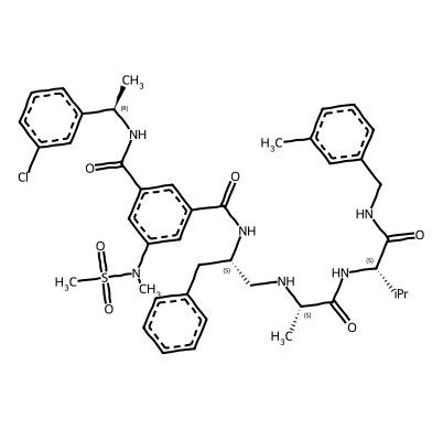 Cc1cccc(CNC(=O)[C@@H](NC(=O)[C@H](C)NC[C@H](Cc2ccccc2)NC(=O)c2cc(C(=O)N[C@H](C)c3cccc(Cl)c3)cc(N(C)S(C)(=O)=O)c2)C(C)C)c1